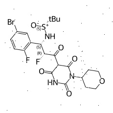 CC(C)(C)[S@@+]([O-])N[C@@H](c1cc(Br)ccc1F)[C@@H](F)C(=O)C1C(=O)NC(=O)N(C2CCOCC2)C1=O